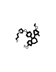 CCOc1ccc(C2=C(c3ccc(O[C@H]4CCN(CCCF)C4)cc3)c3ccc(OF)cc3CCC2)c(C)c1